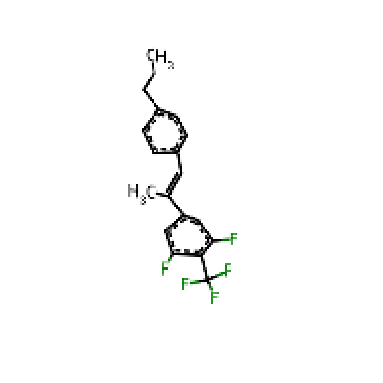 CCCc1ccc(/C=C(\C)c2cc(F)c(C(F)(F)F)c(F)c2)cc1